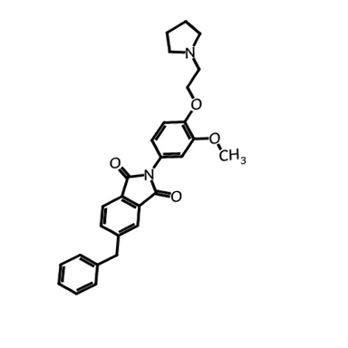 COc1cc(N2C(=O)c3ccc(Cc4ccccc4)cc3C2=O)ccc1OCCN1CCCC1